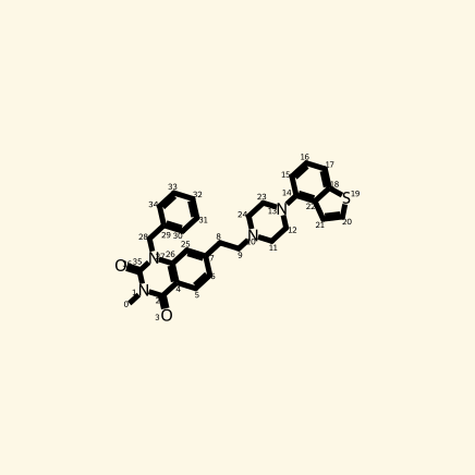 Cn1c(=O)c2ccc(CCN3CCN(c4cccc5sccc45)CC3)cc2n(Cc2ccccc2)c1=O